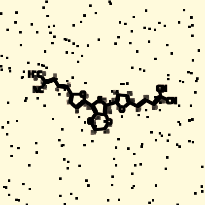 C/C(C#N)=C/C=C/c1ccc(-c2sc(-c3ccc(/C=C/C=C(C#N)C#N)o3)c3c2OCCO3)o1